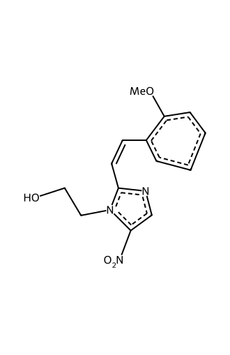 COc1ccccc1/C=C\c1ncc([N+](=O)[O-])n1CCO